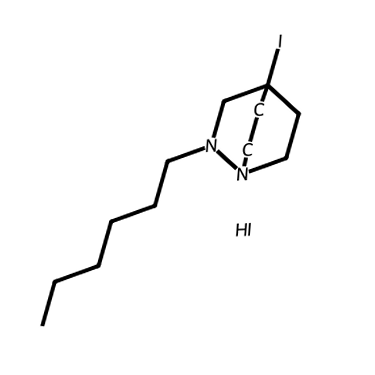 CCCCCCN1CC2(I)CCN1CC2.I